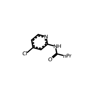 CCCC(=O)Nc1cc(Cl)ccn1